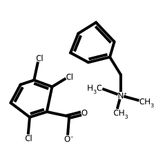 C[N+](C)(C)Cc1ccccc1.O=C([O-])c1c(Cl)ccc(Cl)c1Cl